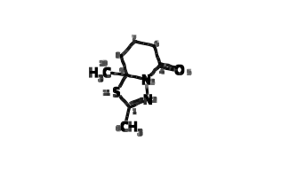 CC1=NN2C(=O)CCCC2(C)S1